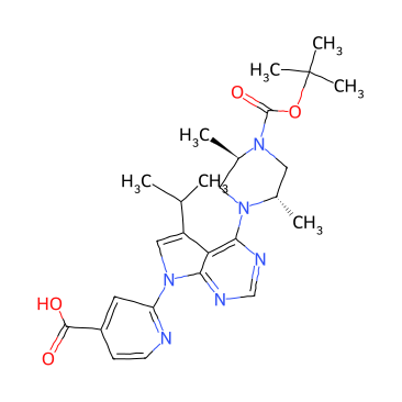 CC(C)c1cn(-c2cc(C(=O)O)ccn2)c2ncnc(N3C[C@@H](C)N(C(=O)OC(C)(C)C)C[C@@H]3C)c12